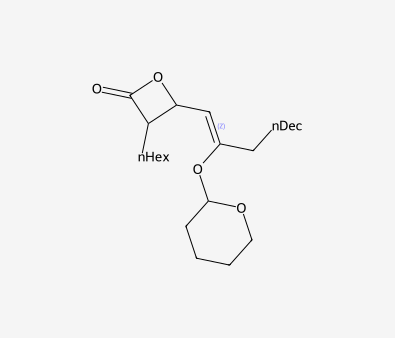 CCCCCCCCCCC/C(=C/C1OC(=O)C1CCCCCC)OC1CCCCO1